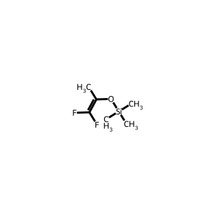 CC(O[Si](C)(C)C)=C(F)F